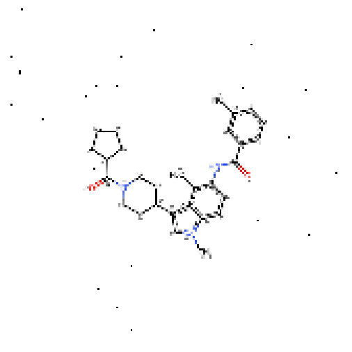 Cc1c(NC(=O)c2cccc(C#N)c2)ccc2c1c(C1CCN(C(=O)C3CCCC3)CC1)cn2C